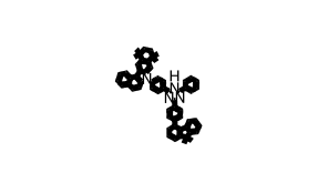 CC1(C)CCC(C)(C)c2cc3c(cc21)c1c2ccccc2ccc1n3-c1ccc(C2=NC(c3ccc(C4CC=CC5=C4c4ccccc4C5(C)C)cc3)=NC(c3ccccc3)N2)cc1